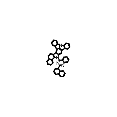 c1ccc2c(-c3nc(-n4c5cc6c7ccccc7n7c8ccccc8c(c5c5ccc8ccccc8c54)c67)c4ccccc4n3)cccc2c1